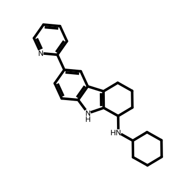 c1ccc(-c2ccc3[nH]c4c(c3c2)CCCC4NC2CCCCC2)nc1